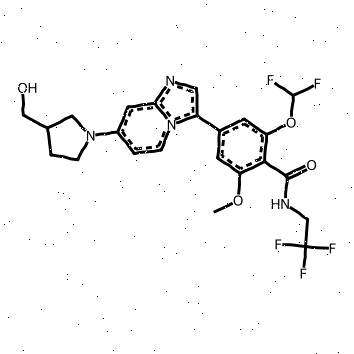 COc1cc(-c2cnc3cc(N4CCC(CO)C4)ccn23)cc(OC(F)F)c1C(=O)NCC(F)(F)F